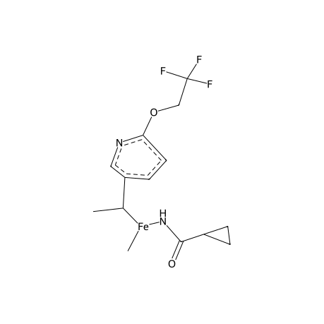 C[CH](c1ccc(OCC(F)(F)F)nc1)[Fe]([CH3])[NH]C(=O)C1CC1